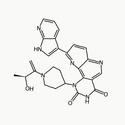 C=C([C@H](C)O)N1CCC(n2c(=O)[nH]c(=O)c3cnc4ccc(-c5c[nH]c6ncccc56)nc4c32)CC1